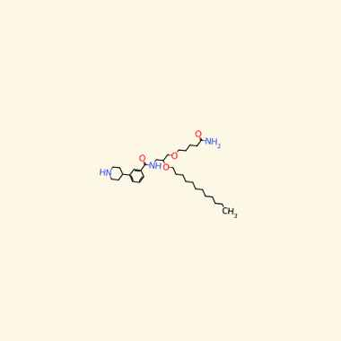 CCCCCCCCCCCCOC(CNC(=O)c1cccc(C2CCNCC2)c1)COCCCCC(N)=O